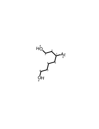 CC(=O)C(CCO)CCCCO